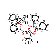 CC1[C@H]([SrH])OC(CO[Si](c2ccccc2)(c2ccccc2)C(C)(C)C)[C@@H](OCc2ccccc2)[C@H]1OCc1ccccc1